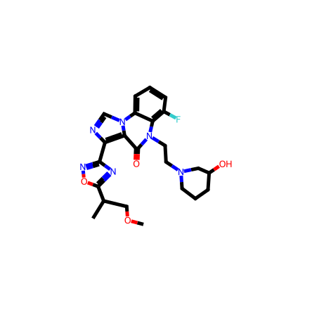 COCC(C)c1nc(-c2ncn3c2c(=O)n(CCN2CCCC(O)C2)c2c(F)cccc23)no1